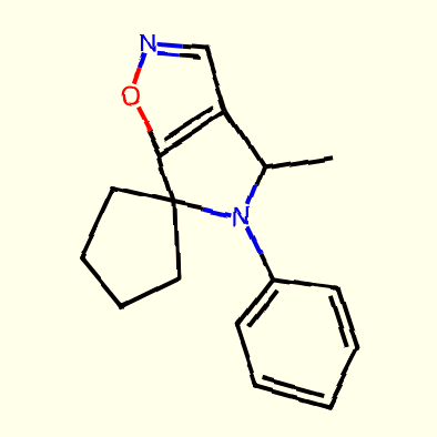 CC1c2cnoc2C2(CCCC2)N1c1ccccc1